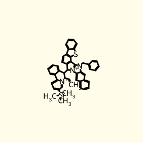 C=CC1C(C2c3ccc4c(sc5ccccc54)c3-c3n(Cc4ccccc4)c4cc5ccccc5cc4[n+]32)c2ccccc2-c2ccc([Si](C)(C)C)c[n+]21